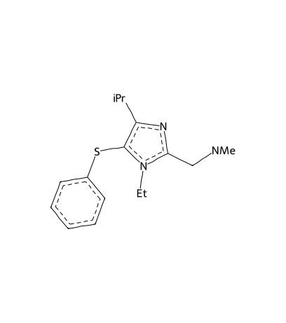 CCn1c(CNC)nc(C(C)C)c1Sc1ccccc1